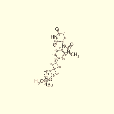 Cn1c(=O)n(C2CCC(=O)NC2=O)c2ccc(C3CC4(CC(O[Si](C)(C)C(C)(C)C)C4)C3)cc21